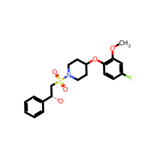 COc1cc(F)ccc1OC1CCN(S(=O)(=O)C[C@H]([O])c2ccccc2)CC1